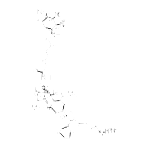 COc1cc(C(C)(C)[C@H](CCCCCN=[N+]=[N-])c2ccccc2)cc(OC)c1[C@H]1C=C(CNC(=O)CCCCCCNc2ccc([N+](=O)[O-])c3nonc23)[C@H]2C[C@@H]1C2(C)C